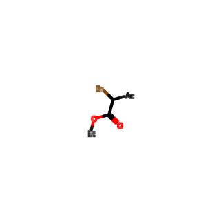 CCOC(=O)C(Br)C(C)=O